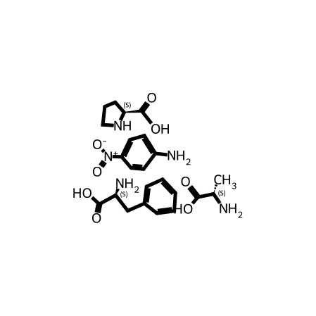 C[C@H](N)C(=O)O.N[C@@H](Cc1ccccc1)C(=O)O.Nc1ccc([N+](=O)[O-])cc1.O=C(O)[C@@H]1CCCN1